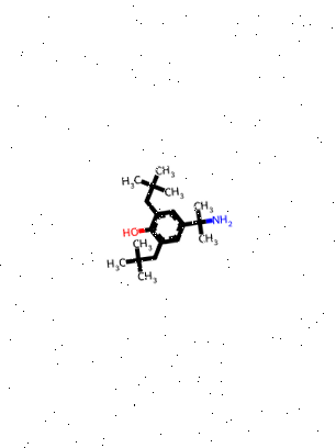 CC(C)(C)Cc1cc(C(C)(C)N)cc(CC(C)(C)C)c1O